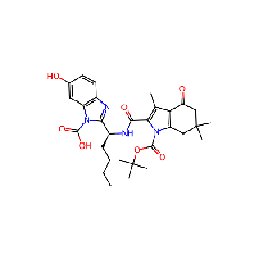 CCCC[C@H](NC(=O)c1c(C)c2c(n1C(=O)OC(C)(C)C)CC(C)(C)CC2=O)c1nc2ccc(O)cc2n1C(=O)O